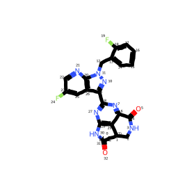 C[C@@]12CNC(=O)c3nc(-c4nn(Cc5ccccc5F)c5ncc(F)cc45)nc(c31)NC2=O